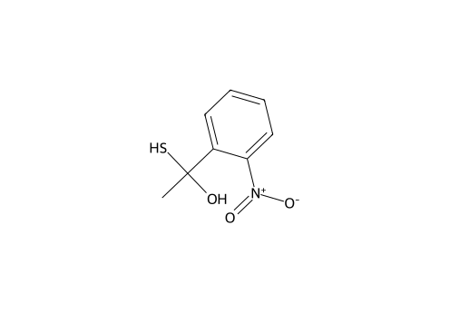 CC(O)(S)c1ccccc1[N+](=O)[O-]